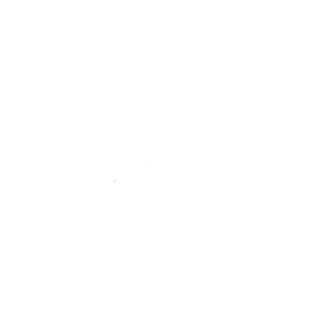 CC(=O)Nc1oc(-c2ccc(-c3ccccc3)cc2O)nc1-c1c(Cl)cccc1Cl